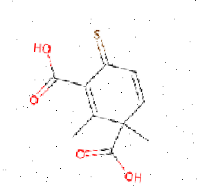 CC1=C(C(=O)O)C(=S)C=CC1(C)C(=O)O